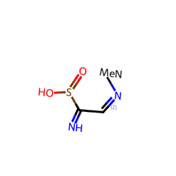 CN/N=C\C(=N)S(=O)O